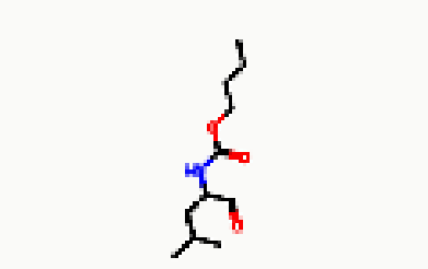 CCCCOC(=O)NC(C=O)CC(C)C